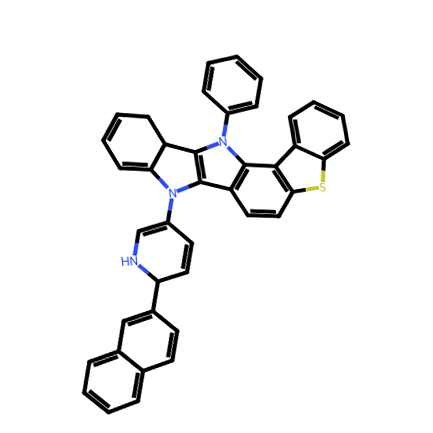 C1=CCC2C(=C1)N(C1=CNC(c3ccc4ccccc4c3)C=C1)c1c2n(-c2ccccc2)c2c1ccc1sc3ccccc3c12